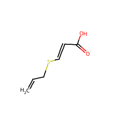 C=CCSC=CC(=O)O